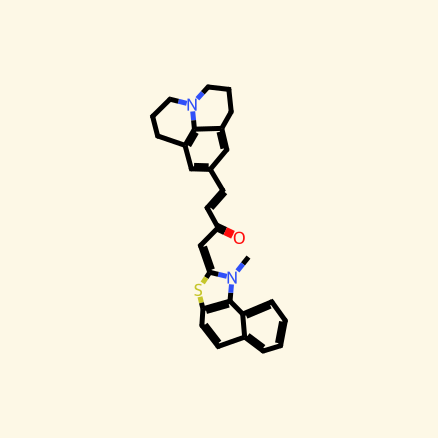 CN1C(=CC(=O)C=Cc2cc3c4c(c2)CCCN4CCC3)Sc2ccc3ccccc3c21